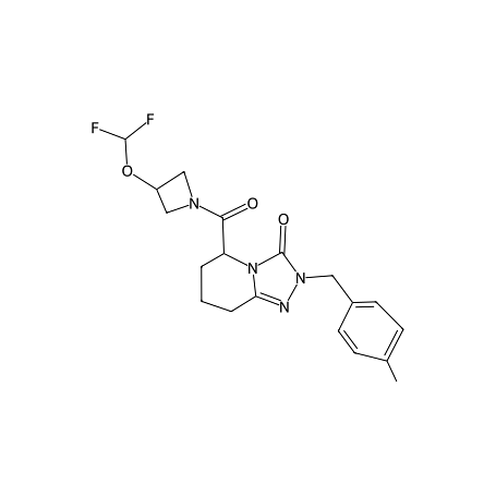 Cc1ccc(Cn2nc3n(c2=O)C(C(=O)N2CC(OC(F)F)C2)CCC3)cc1